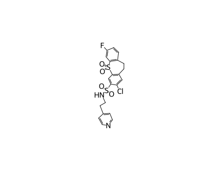 O=S(=O)(NCCc1ccncc1)c1cc2c(cc1Cl)CCc1ccc(F)cc1S2(=O)=O